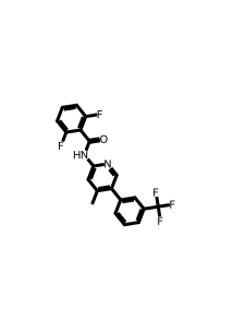 Cc1cc(NC(=O)c2c(F)cccc2F)ncc1-c1cccc(C(F)(F)F)c1